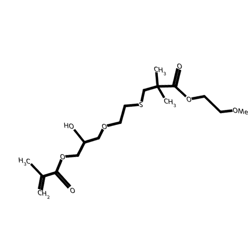 C=C(C)C(=O)OCC(O)COCCSCC(C)(C)C(=O)OCCOC